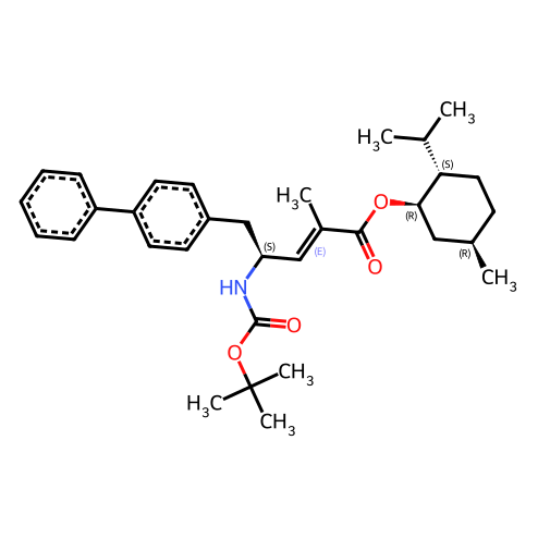 C/C(=C\[C@H](Cc1ccc(-c2ccccc2)cc1)NC(=O)OC(C)(C)C)C(=O)O[C@@H]1C[C@H](C)CC[C@H]1C(C)C